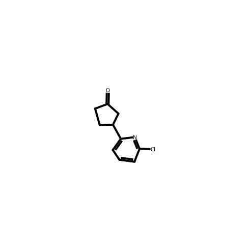 O=C1CCC(c2cccc(Cl)n2)C1